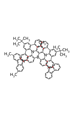 Cc1cc2c3c(c1)N(c1c(-c4ccccc4)cc(C(C)(C)C)cc1-c1ccccc1)c1cc(-n4c5ccc(C)cc5c5cc(C)ccc54)ccc1B3c1ccc(-n3c4ccccc4c4ccccc43)cc1N2c1c(-c2ccccc2)cc(C(C)(C)C)cc1-c1ccccc1